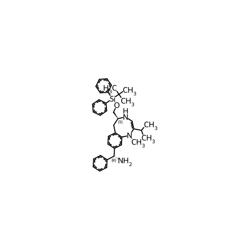 CC(C)C1=CN[C@H](CO[Si](c2ccccc2)(c2ccccc2)C(C)(C)C)Cc2ccc([C@H](N)c3ccccc3)cc2N1C